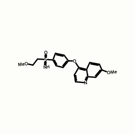 COCCS(=N)(=O)c1ccc(Oc2ccnc3cc(OC)ccc23)cc1